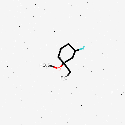 O=S(=O)(O)OC1(CC(F)(F)F)CCCC(F)C1